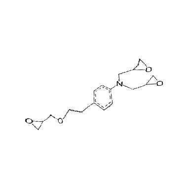 c1cc(N(CC2CO2)CC2CO2)ccc1CCOCC1CO1